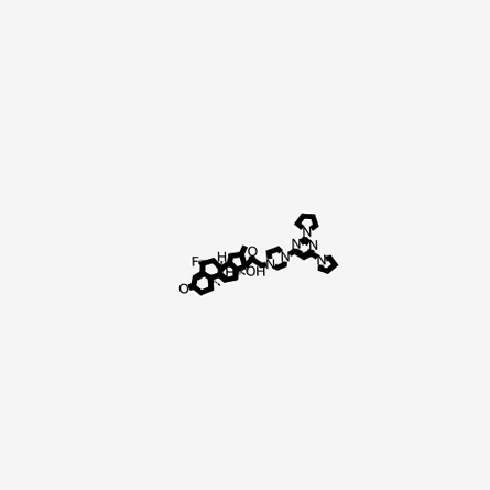 CC1C[C@H]2[C@@H]3C[C@H](F)C4=CC(=O)CC[C@]4(C)C3=CC[C@]2(C)[C@@]1(O)C(=O)CN1CCN(c2cc(N3CCCC3)nc(N3CCCC3)n2)CC1